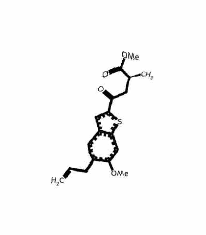 C=CCc1cc2cc(C(=O)C[C@H](C)C(=O)OC)sc2cc1OC